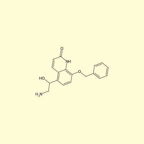 NCC(O)c1ccc(OCc2ccccc2)c2[nH]c(=O)ccc12